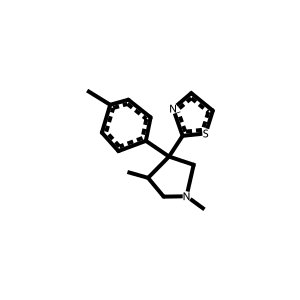 Cc1ccc(C2(c3nccs3)CN(C)CC2C)cc1